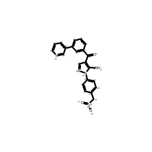 Nc1c(C(=O)c2cccc(-c3cccnc3)c2)cnn1-c1ccc(C[SH](=O)=O)cc1